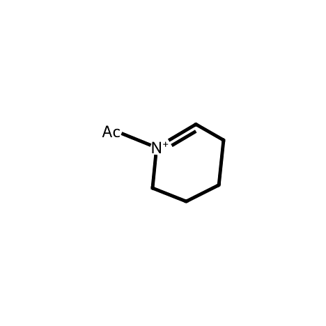 [13CH3]C(=O)[N+]1=CCCCC1